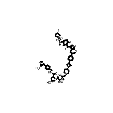 Cc1ncsc1-c1ccc(CNC(=O)[C@@H]2C[C@@H](O)CN2C(=O)[C@@H](NC(=O)CN2CCC(N3CC(c4ccc(-c5cnc6[nH]cc(C(=O)c7c(F)ccc(NS(=O)(=O)N8CC[C@@H](F)C8)c7F)c6c5)cc4)C3)CC2)C(C)(C)C)cc1